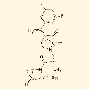 C[C@@H](CN1CC2C[C@H]1C(=O)N2[C@@H](C)c1cc(F)cc(F)c1)C(=O)N1C2C[C@H]2C[C@H]1C#N